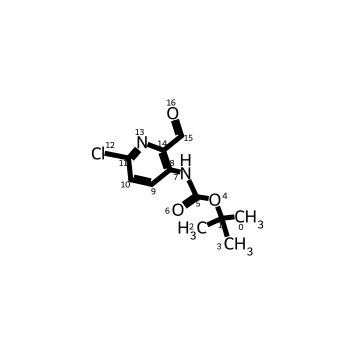 CC(C)(C)OC(=O)Nc1ccc(Cl)nc1C=O